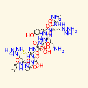 CSCC[C@H](NC(=O)[C@H](CO)NC(=O)[C@@H]1CCCN1C(=O)[C@H](CCCNC(=N)N)NC(=O)[C@@H](C)CC(C)C)C(=O)N[C@H](C(=O)N[C@@H](CC(=O)O)C(=O)N[C@@H](CCCCN)C(=O)N[C@@H](Cc1ccc(O)cc1)C(=O)N[C@@H](CCCNC(=N)N)C(=O)N[C@@H](CC(C)C)C(N)=O)[C@@H](C)O